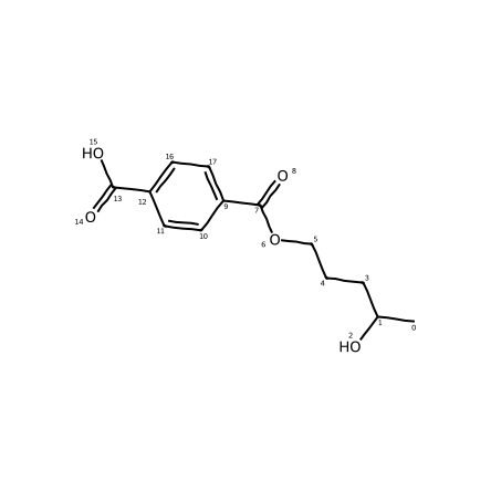 CC(O)CCCOC(=O)c1ccc(C(=O)O)cc1